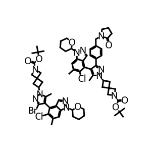 Cc1cc2c(cnn2C2CCCCO2)c(-c2c(-c3ccc(CN4CCCC4=O)cc3)nn(C3CC4(C3)CN(C(=O)OC(C)(C)C)C4)c2C)c1Cl.Cc1cc2c(cnn2C2CCCCO2)c(-c2c(Br)nn(C3CC4(C3)CN(C(=O)OC(C)(C)C)C4)c2C)c1Cl